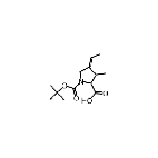 C/C=C1/CN(C(=O)OC(C)(C)C)C(C(=O)O)C1C